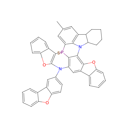 Cc1cc2c3c(c1)P1(=S)c4c(cc5c(oc6ccccc65)c4N3C3CCCCC23)N(c2ccc3oc4ccccc4c3c2)c2oc3ccccc3c21